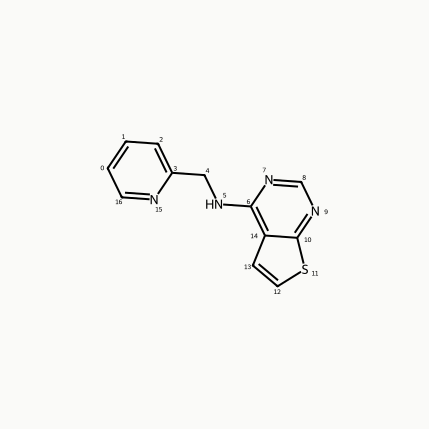 c1ccc(CNc2ncnc3sccc23)nc1